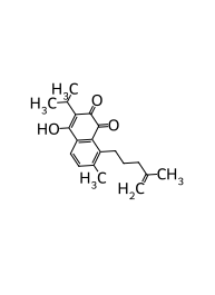 C=C(C)CCCc1c(C)ccc2c1C(=O)C(=O)C(C(C)C)=C2O